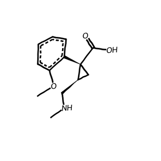 CNC[C@@H]1C[C@]1(C(=O)O)c1ccccc1OC